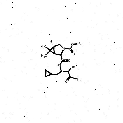 CC(C)(C)OC(=O)N1C[C@H]2C(C1C(=O)NC(CC1CC1)C(O)C(N)=O)C2(C)C